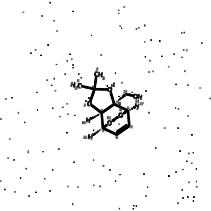 CC1(C)O[C@@H]2[C@@H]3C=C[C@@H](OO3)[C@]2(CO)O1